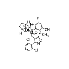 CC(C)(F)c1onc(-c2c(Cl)cccc2Cl)c1CO[C@H]1C[C@H]2CC[C@@H](C1)[C@@]2(O)c1nc2c(F)cc(C#N)cc2s1